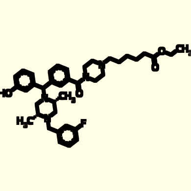 CCOC(=O)CCCCCN1CCN(C(=O)c2cccc(C(c3cccc(O)c3)N3C[C@@H](C)N(Cc4cccc(F)c4)C[C@H]3C)c2)CC1